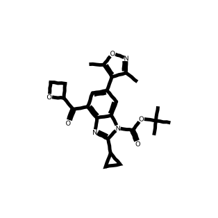 Cc1noc(C)c1-c1cc(C(=O)C2CCO2)c2nc(C3CC3)n(C(=O)OC(C)(C)C)c2c1